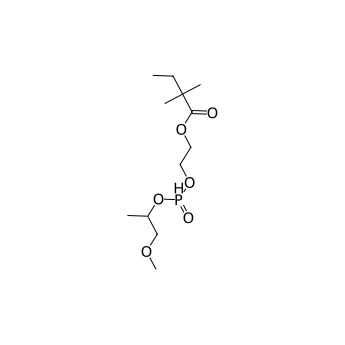 CCC(C)(C)C(=O)OCCO[PH](=O)OC(C)COC